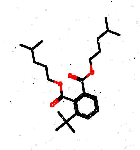 CC(C)CCCOC(=O)c1cccc(C(C)(C)C)c1C(=O)OCCCC(C)C